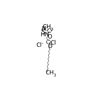 CCCCCCCCCCCCCCOc1ccc(CC(=O)Nc2ccccc2-c2scc[n+]2C)cc1Cl.[Cl-]